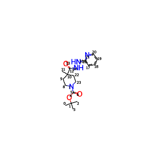 CC(C)(C)OC(=O)N1CCC(C)(C(=O)NNc2ccccn2)CC1